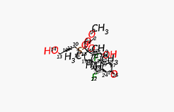 COCC(=O)O[C@]1(C(=O)SCC#CCO)[C@H](C)C[C@H]2[C@@H]3C[C@H](F)C4=CC(=O)C=C[C@]4(C)[C@@]3(F)[C@@H](O)C[C@@]21C